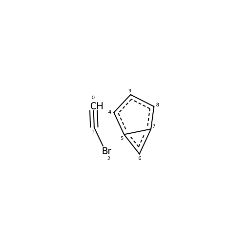 C#CBr.c1cc2cc-2c1